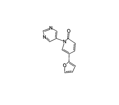 O=c1ccc(-c2ccco2)cn1-c1cncnc1